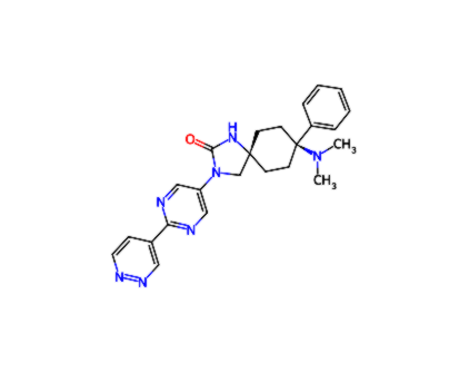 CN(C)[C@]1(c2ccccc2)CC[C@@]2(CC1)CN(c1cnc(-c3ccnnc3)nc1)C(=O)N2